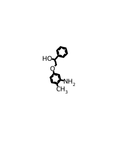 Cc1ccc(OCC(O)c2ccccc2)cc1N